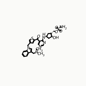 CN(C)Cc1cn(Cc2csc(C(=O)c3cncnc3N[C@@H]3C[C@H](COS(N)(=O)=O)[C@@H](O)C3)c2)c2ccccc12